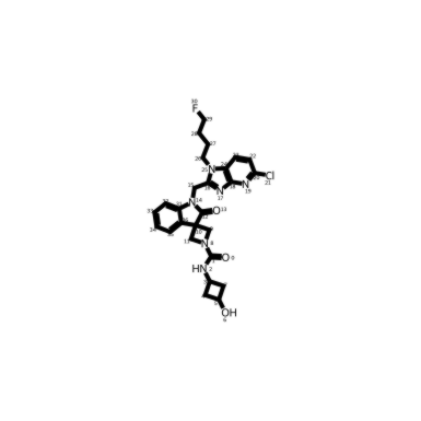 O=C(NC1CC(O)C1)N1CC2(C1)C(=O)N(Cc1nc3nc(Cl)ccc3n1CCCCF)c1ccccc12